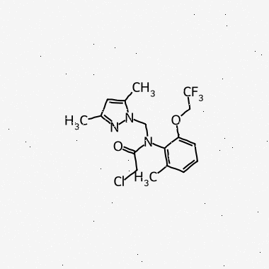 Cc1cc(C)n(CN(C(=O)CCl)c2c(C)cccc2OCC(F)(F)F)n1